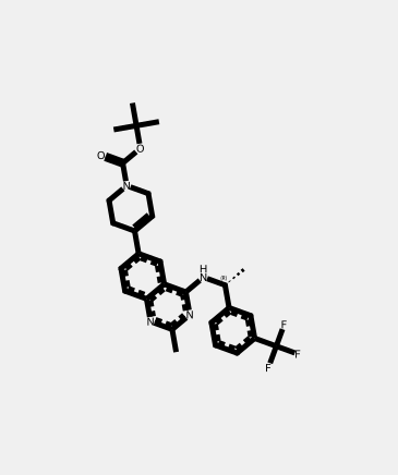 Cc1nc(N[C@H](C)c2cccc(C(F)(F)F)c2)c2cc(C3=CCN(C(=O)OC(C)(C)C)CC3)ccc2n1